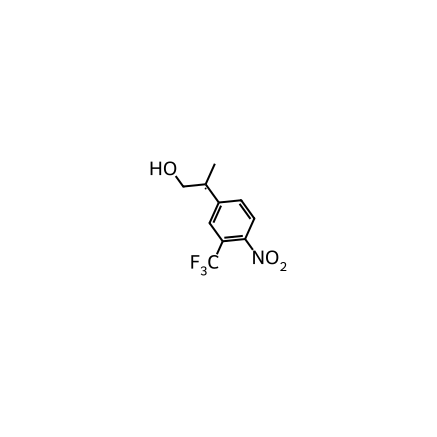 C[C](CO)c1ccc([N+](=O)[O-])c(C(F)(F)F)c1